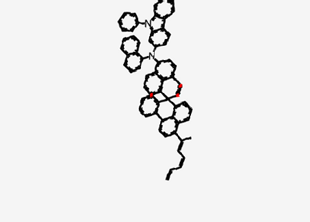 C=C/C=C\C=C(/C)c1ccc2c3c(cccc13)C1(c3ccccc3-2)c2ccccc2-c2ccc(N(c3ccc4c5ccccc5n(-c5ccccc5)c4c3)c3cccc4ccccc34)c3cccc1c23